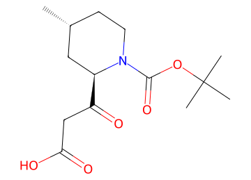 C[C@@H]1CCN(C(=O)OC(C)(C)C)[C@@H](C(=O)CC(=O)O)C1